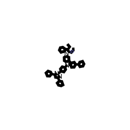 C=Cc1c(/C=C\C)n(-c2ccc3c(c2)c2cc(-c4ccccc4)ccc2n3-c2ccc(-c3nc(-c4ccccc4)cc(-c4ccccc4)n3)cc2)c2ccccc12